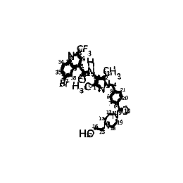 Cc1nn(Cc2ccc(C(=O)N3CCN(CCO)CC3)cc2)c(C)c1NC(=O)c1cc(C(F)(F)F)nc2ccc(Br)cc12